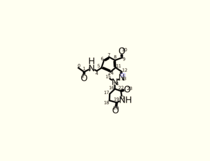 CC(=O)NCc1ccc(C=O)c(/C=N\N(C)C2CCC(=O)NC2=O)c1